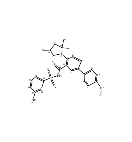 COc1ccc(-c2cnc(N3CC(C)CC3(C)C)c(C(=O)NS(=O)(=O)c3cccc(N)n3)c2)cn1